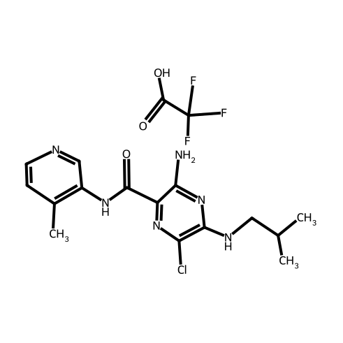 Cc1ccncc1NC(=O)c1nc(Cl)c(NCC(C)C)nc1N.O=C(O)C(F)(F)F